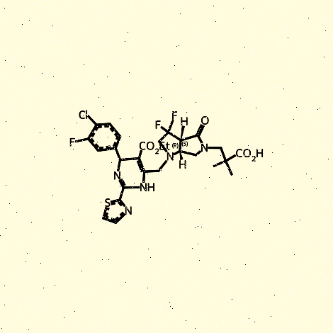 CCOC(=O)C1=C(CN2CC(F)(F)[C@@H]3C(=O)N(CC(C)(C)C(=O)O)C[C@@H]32)NC(c2nccs2)=NC1c1ccc(Cl)c(F)c1